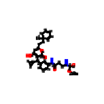 CCC1(CCc2cc(O)c(C(c3cccc(NC(=O)CCNC(=O)OC(C)(C)C)c3)C3CC3)c(=O)o2)C=CC=CC1